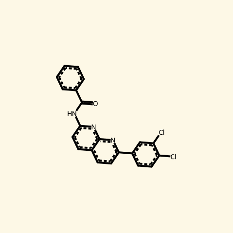 O=C(Nc1ccc2ccc(-c3ccc(Cl)c(Cl)c3)nc2n1)c1ccccc1